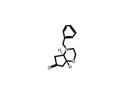 O=C1C[C@@H]2[C@@H](C1)OCCN2Cc1ccccc1